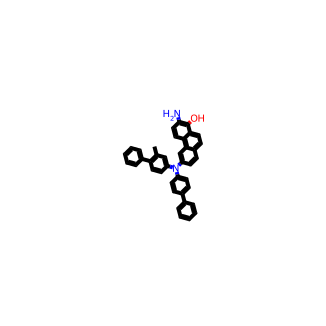 Cc1cc(N(c2ccc(-c3ccccc3)cc2)c2ccc3ccc4c(O)c(N)ccc4c3c2)ccc1-c1ccccc1